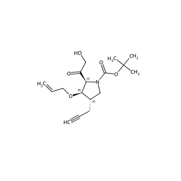 C#CC[C@H]1CN(C(=O)OC(C)(C)C)[C@H](C(=O)CO)[C@@H]1OCC=C